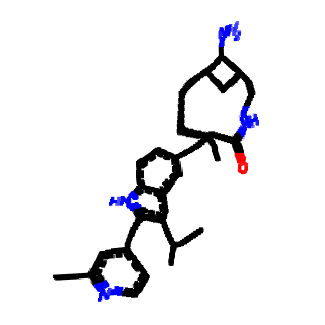 Cc1cc(-c2[nH]c3ccc(C4(C)CCC5CC(CNC4=O)C5N)cc3c2C(C)C)ccn1